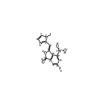 Cn1ccnc1/C=C1\OC(=O)c2cc(F)cc([N+](=O)[O-])c21